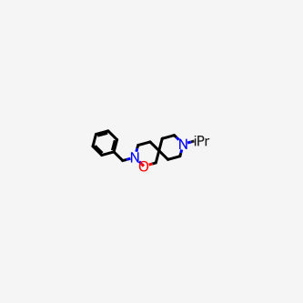 CC(C)N1CCC2(CCN(Cc3ccccc3)OC2)CC1